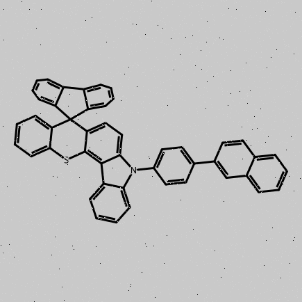 c1ccc2c(c1)Sc1c(ccc3c1c1ccccc1n3-c1ccc(-c3ccc4ccccc4c3)cc1)C21c2ccccc2-c2ccccc21